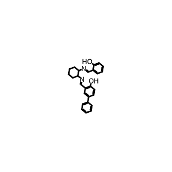 Oc1ccccc1C=NC1CCCCC1N=Cc1cc(-c2ccccc2)ccc1O